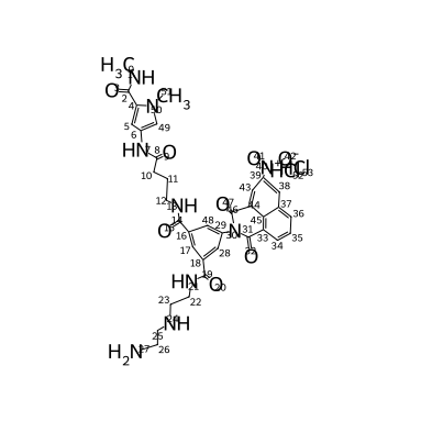 CNC(=O)c1cc(NC(=O)CCCNC(=O)c2cc(C(=O)NCCNCCN)cc(N3C(=O)c4cccc5cc([N+](=O)[O-])cc(c45)C3=O)c2)cn1C.Cl.Cl